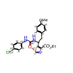 CCOC(=O)c1ncoc1C(Cc1ccc(OC)cc1)NC(=O)Nc1ccc(Cl)cc1